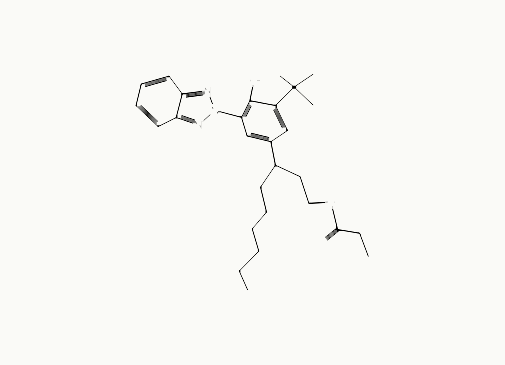 CCCCCCC(CCOC(=O)CC)c1cc(-n2nc3ccccc3n2)c(O)c(C(C)(C)C)c1